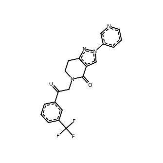 O=C(CN1CCc2nn(-c3cccnc3)cc2C1=O)c1cccc(C(F)(F)F)c1